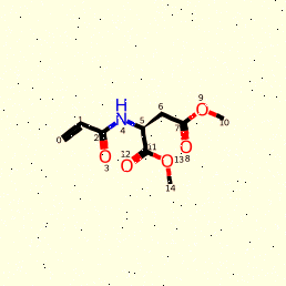 C=CC(=O)N[C@@H](CC(=O)OC)C(=O)OC